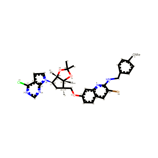 COc1ccc(CNc2nc3cc(OC[C@@]4(C)C[C@@H](n5ccc6c(Cl)ncnc65)[C@@H]5OC(C)(C)O[C@@H]54)ccc3cc2Br)cc1